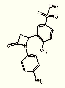 COS(=O)(=O)c1ccc(C)c(C2CC(=O)N2c2ccc(N)cc2)c1